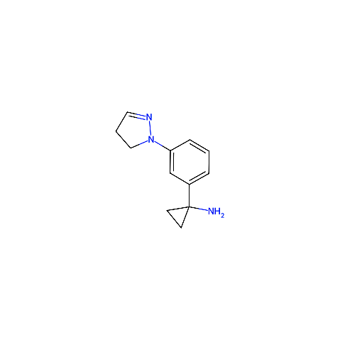 NC1(c2cccc(N3CCC=N3)c2)CC1